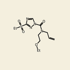 C=CCN(CCOCC)C(=O)n1cnc(S(=O)(=O)CC)n1